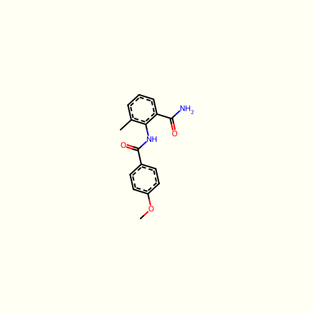 COc1ccc(C(=O)Nc2c(C)cccc2C(N)=O)cc1